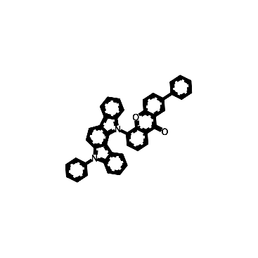 O=c1c2cc(-c3ccccc3)ccc2oc2c(-n3c4ccccc4c4ccc5c(c6ccccc6n5-c5ccccc5)c43)cccc12